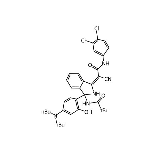 CCCCN(CCCC)c1ccc(C2(NC(=O)C(C)(C)C)NC(=C(C#N)C(=O)Nc3ccc(Cl)c(Cl)c3)c3ccccc32)c(O)c1